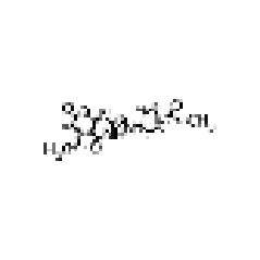 CCC(=O)N1CCC(=NOc2nc3oc(=O)cc(CC)c3c(=O)[nH]2)CC1